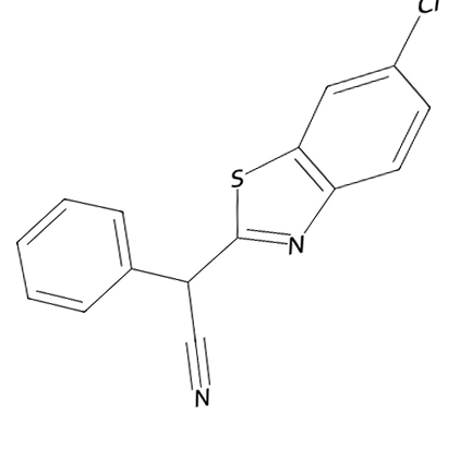 N#CC(c1ccccc1)c1nc2ccc(Cl)cc2s1